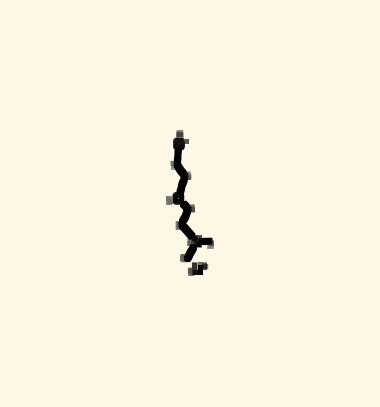 CN(C)CCOCC[O-].[Li+]